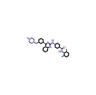 Cc1cccc(C)c1NC(=O)c1ccc(Nc2nc(-c3cccc(CN4CCN(C)CC4)c3)c3ccccc3n2)cc1